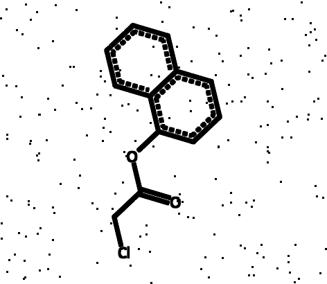 O=C(CCl)Oc1cccc2ccccc12